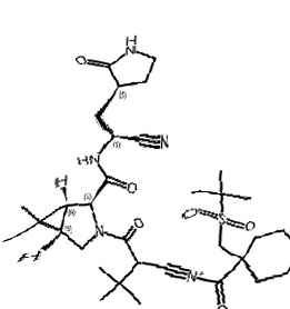 CC(C)(C)C(C#[N+]C(=O)C1(CS(=O)(=O)C(C)(C)C)CCCCC1)C(=O)N1C[C@H]2[C@@H]([C@H]1C(=O)N[C@H](C#N)C[C@@H]1CCNC1=O)C2(C)C